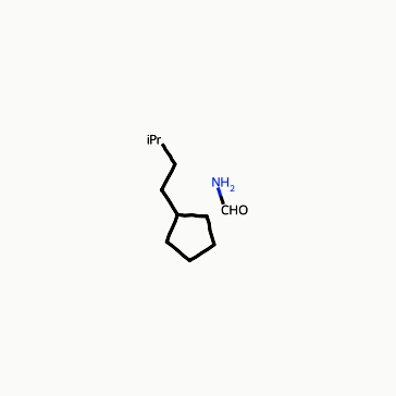 CC(C)CCC1CCCC1.NC=O